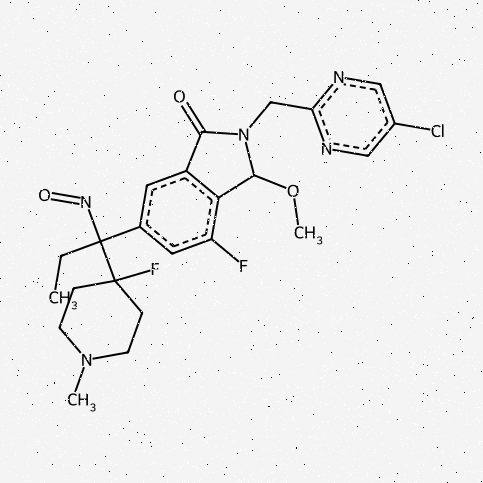 CCC(N=O)(c1cc(F)c2c(c1)C(=O)N(Cc1ncc(Cl)cn1)C2OC)C1(F)CCN(C)CC1